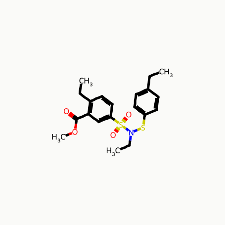 CCc1ccc(SN(CC)S(=O)(=O)c2ccc(CC)c(C(=O)OC)c2)cc1